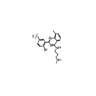 Cc1cccc2c(NCCCN(C)C)nc(-c3cc(C(F)(F)F)ccc3Br)nc12